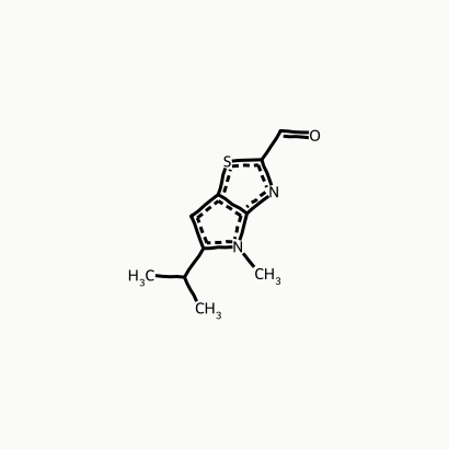 CC(C)c1cc2sc(C=O)nc2n1C